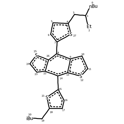 CCCCC(CC)Cc1ccc(-c2c3ccsc3c(-c3ccc(CC(C)CC)s3)c3ccsc23)s1